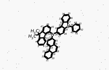 CC1(C)c2ccccc2-c2c(N(c3ccc4c(ccc5ccccc54)c3)c3ccc4c(c3)c3ccccc3n4-c3ccccc3)cccc21